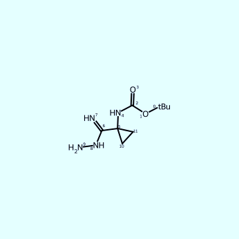 CC(C)(C)OC(=O)NC1(C(=N)NN)CC1